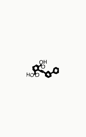 O=C(O)c1cccc(C(=O)O)c1C#Cc1cccc(-c2ccccc2)c1